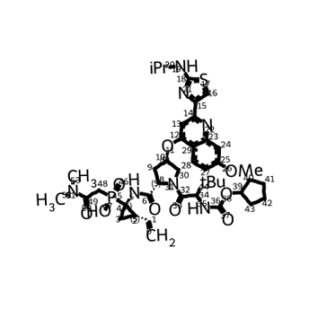 C=C[C@@H]1C[C@]1(NC(=O)[C@@H]1C[C@@H](Oc2cc(-c3csc(NC(C)C)n3)nc3cc(OC)ccc23)CN1C(=O)C(NC(=O)OC1CCCC1)C(C)(C)C)P(=O)(O)CC(=O)N(C)C